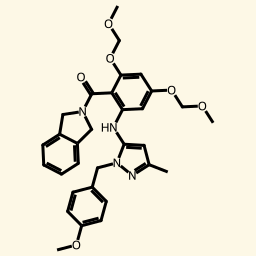 COCOc1cc(Nc2cc(C)nn2Cc2ccc(OC)cc2)c(C(=O)N2Cc3ccccc3C2)c(OCOC)c1